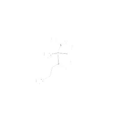 NCCC(=O)C(N)(C(=O)O)C(F)F